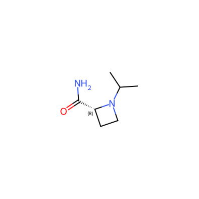 CC(C)N1CC[C@@H]1C(N)=O